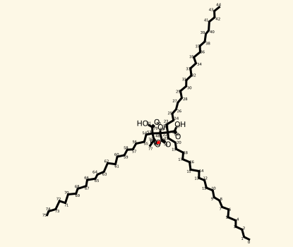 CCCCCCCCCCCCCCCCCCCCCCC(CCCCCCCCCCCCCCCCCCCCCC)(C(=O)O)C(O)(C(=O)O)C(CCCCCCCCCCCCCCCCCCCCCC)(C(C)=O)C(=O)O